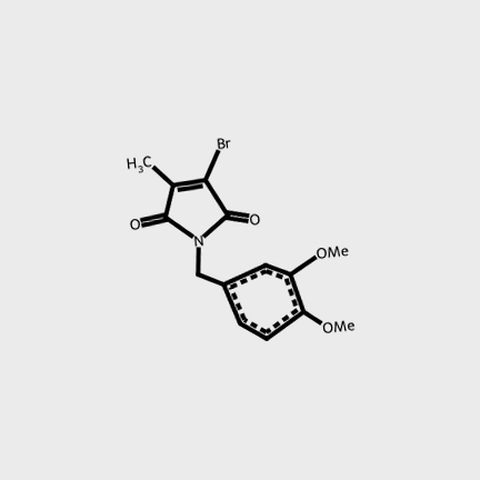 COc1ccc(CN2C(=O)C(C)=C(Br)C2=O)cc1OC